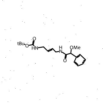 COC(C(=O)NC/C=C/CNC(=O)OC(C)(C)C)c1ccccc1